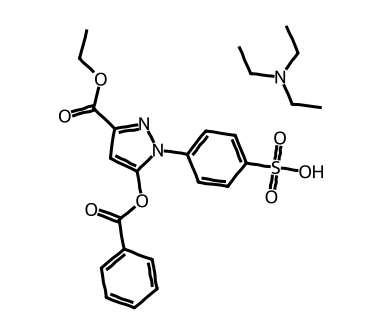 CCN(CC)CC.CCOC(=O)c1cc(OC(=O)c2ccccc2)n(-c2ccc(S(=O)(=O)O)cc2)n1